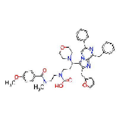 COc1ccc(C(=O)N(C)CCN(CCC(c2c(Cc3ccco3)nc3c(Cc4ccccc4)nc(-c4ccccc4)cn23)N2CCOCC2)C(=O)O)cc1